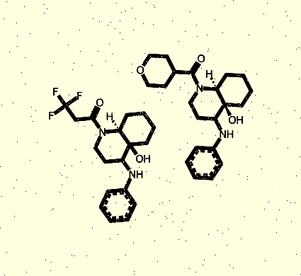 O=C(C1CCOCC1)N1CCC(Nc2ccccc2)[C@@]2(O)CCCC[C@H]12.O=C(CC(F)(F)F)N1CCC(Nc2ccccc2)C2(O)CCCC[C@H]12